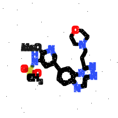 COc1ncc(-c2ccc3ncc4nnc(CCN5CCOCC5)n4c3c2)cc1NS(C)(=O)=O